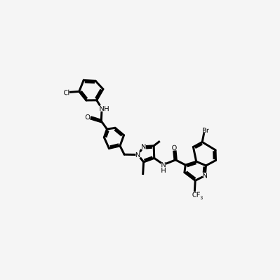 Cc1nn(Cc2ccc(C(=O)Nc3cccc(Cl)c3)cc2)c(C)c1NC(=O)c1cc(C(F)(F)F)nc2ccc(Br)cc12